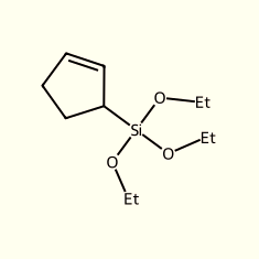 CCO[Si](OCC)(OCC)C1C=CCC1